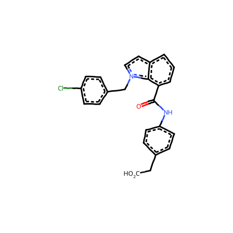 O=C(O)Cc1ccc(NC(=O)c2cccc3ccn(Cc4ccc(Cl)cc4)c23)cc1